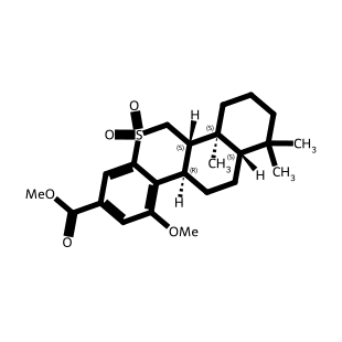 COC(=O)c1cc(OC)c2c(c1)S(=O)(=O)C[C@H]1[C@H]2CC[C@H]2C(C)(C)CCC[C@]12C